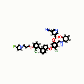 N#Cc1cncc(COc2cc(O[C@H]3CCc4c(-c5cccc(OCCCN6CC[C@H](F)C6)c5Cl)cccc43)c(Cl)cc2CN[C@@H]2CCCC[C@@H]2O)c1